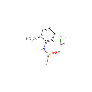 CCCC.Cl.O=C(O)c1ccccc1N=S(=O)=O